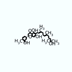 C/C(=C\Cc1c(O)cc2c(c1O)C(=O)C[C@@H](c1ccc(C)c(O)c1)O2)CC/C=C(\C)CCCC(C)(C)O